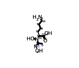 C/C(=N\O)N(O)[C@@H](CCCCN)C(=O)O